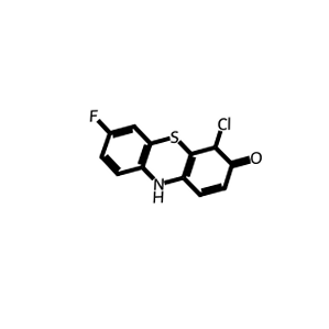 O=C1C=CC2=C(Sc3cc(F)ccc3N2)C1Cl